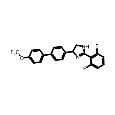 Fc1cccc(F)c1C1=NC(c2ccc(-c3ccc(OC(F)(F)F)cc3)cc2)CN1